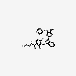 COc1cnc(-c2nn(Cc3c(Cl)ccc(C(=O)NCCO)c3Cl)c3ccccc23)nc1Nc1ccncc1